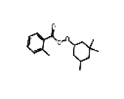 Cc1ccccc1C(=O)OO[C]1CC(C)CC(C)(C)C1